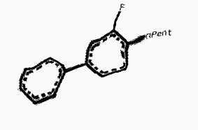 CCCCCc1ccc(-c2cc[c]cc2)cc1F